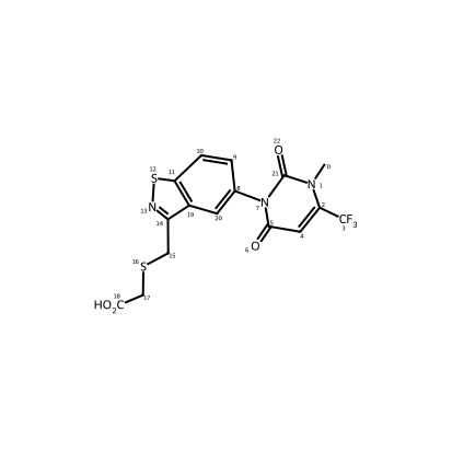 Cn1c(C(F)(F)F)cc(=O)n(-c2ccc3snc(CSCC(=O)O)c3c2)c1=O